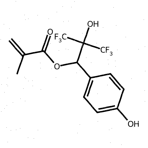 C=C(C)C(=O)OC(c1ccc(O)cc1)C(O)(C(F)(F)F)C(F)(F)F